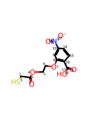 O=C(CS)OCCOc1cc([N+](=O)[O-])ccc1C(=O)O